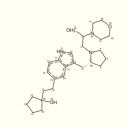 O=CC(CN1CCC[C@@H]1Cc1c[nH]c2ccc(CCC3(O)CCCC3)cc12)N1CCOCC1